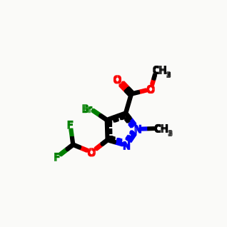 COC(=O)c1c(Br)c(OC(F)F)nn1C